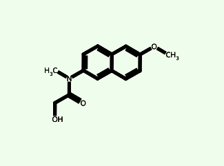 COc1ccc2cc(N(C)C(=O)CO)ccc2c1